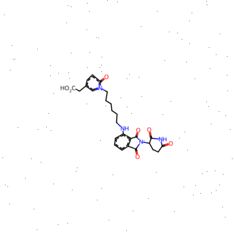 O=C(O)Cc1ccc(=O)n(CCCCCCNc2cccc3c2C(=O)N(C2CCC(=O)NC2=O)C3=O)c1